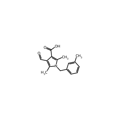 Cc1cccc(Cn2c(C)c(C=O)c(C(=O)O)c2C)c1